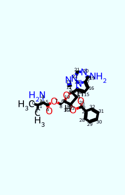 CC(C)[C@H](N)C(=O)OC[C@H]1O[C@@](C#N)(c2ccc3c(N)ncnn23)[C@@H]2OC(c3ccccc3)O[C@@H]21